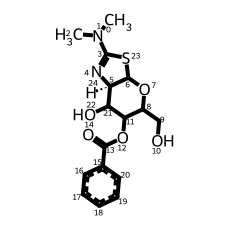 CN(C)C1=N[C@H]2C(OC(CO)C(OC(=O)c3ccccc3)C2O)S1